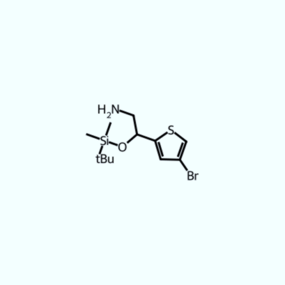 CC(C)(C)[Si](C)(C)OC(CN)c1cc(Br)cs1